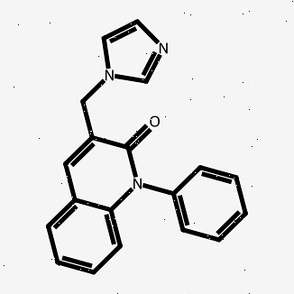 O=c1c(Cn2ccnc2)cc2ccccc2n1-c1ccccc1